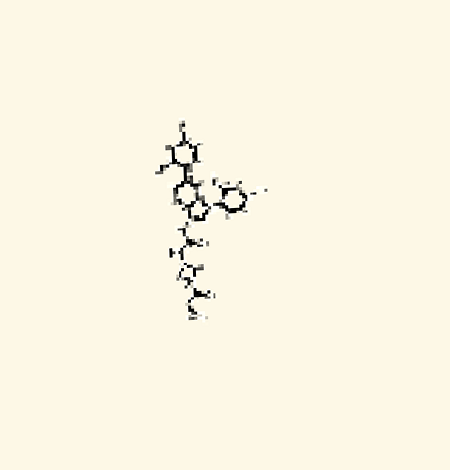 C=CC(=O)N1CC(NC(=O)Cn2cc(-c3ccc(F)cc3F)c3cc(-c4ccc(F)cc4F)ccc32)C1